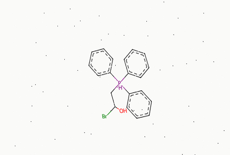 OC(Br)C[PH](c1ccccc1)(c1ccccc1)c1ccccc1